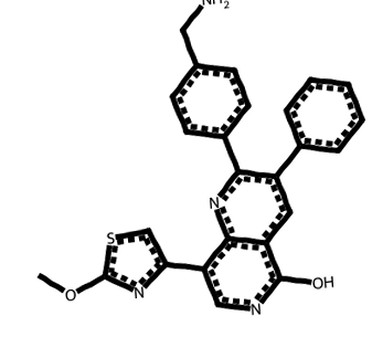 COc1nc(-c2cnc(O)c3cc(-c4ccccc4)c(-c4ccc(CN)cc4)nc23)cs1